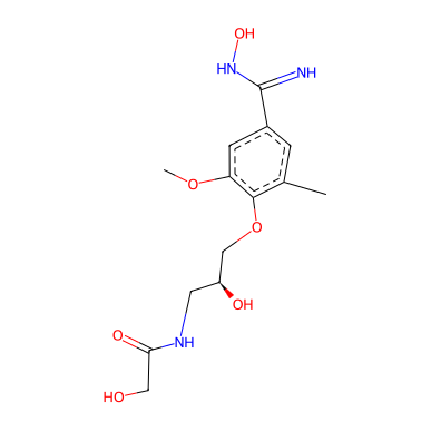 COc1cc(C(=N)NO)cc(C)c1OC[C@@H](O)CNC(=O)CO